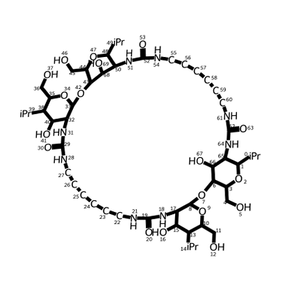 CC(C)C1OC(CO)C2OC3OC(CO)C(C(C)C)C(O)C3NC(=O)NCCCCCCNC(=O)NC3C(OC(CO)C(C(C)C)C3O)OC3C(CO)OC(C(C)C)C(NC(=O)NCCCCCCNC(=O)NC1C2O)C3O